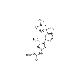 Cc1nc(NC(=O)OC(C)(C)C)sc1-c1ccnc(C(C)(C)CN(C)C)c1